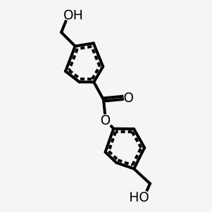 O=C(Oc1ccc(CO)cc1)c1ccc(CO)cc1